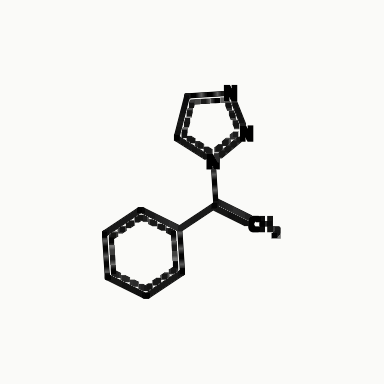 C=C(c1ccccc1)n1ccnn1